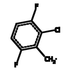 [CH2]c1c(F)ccc(F)c1Cl